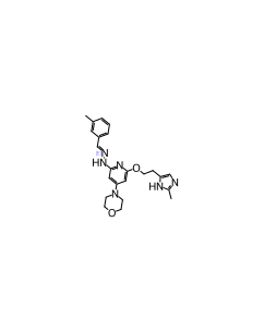 Cc1cccc(/C=N/Nc2cc(N3CCOCC3)cc(OCCc3cnc(C)[nH]3)n2)c1